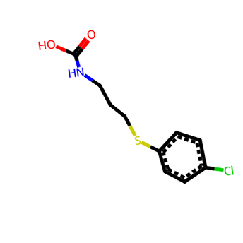 O=C(O)NCCCSc1ccc(Cl)cc1